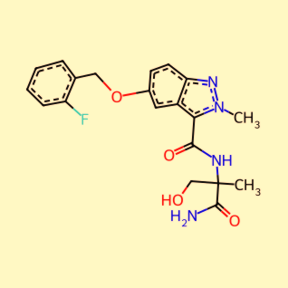 Cn1nc2ccc(OCc3ccccc3F)cc2c1C(=O)NC(C)(CO)C(N)=O